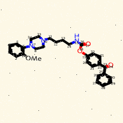 COc1ccccc1N1CCN(CCCCNC(=O)Oc2ccc(C(=O)c3ccccc3)cc2)CC1